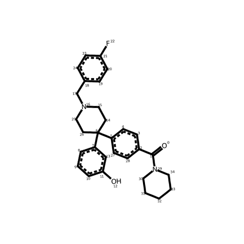 O=C(c1ccc(C2(c3cccc(O)c3)CCN(Cc3ccc(F)cc3)CC2)cc1)N1CCCCC1